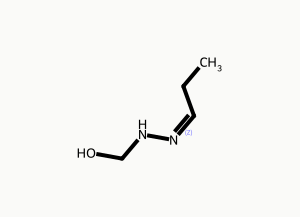 CC/C=N\NCO